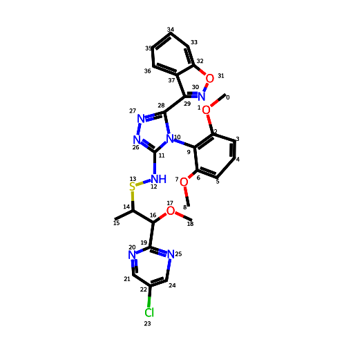 COc1cccc(OC)c1-n1c(NSC(C)C(OC)c2ncc(Cl)cn2)nnc1-c1noc2ccccc12